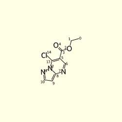 CCOC(=O)c1cnc2ccnn2c1Cl